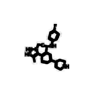 CC1=C2c3ccc(C4=CCNCC4)cc3C(Nc3ccc(F)cc3)CCN2NN1